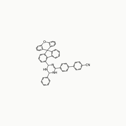 N#Cc1ccc(-c2ccc(C3=NC(c4cccc5c4-c4ccccc4C54c5ccccc5Oc5ccccc54)NC(c4ccccc4)N3)cc2)cc1